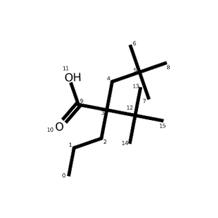 CCCC(CC(C)(C)C)(C(=O)O)C(C)(C)C